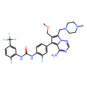 COCc1c(-c2ccc(NC(=O)Nc3cc(C(F)(F)F)ccc3F)c(F)c2)c2c(N)ncnn2c1CN1CCN(C)CC1